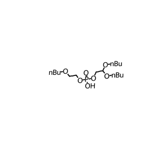 CCCCOCCOP(=O)(O)OCC(OCCCC)OCCCC